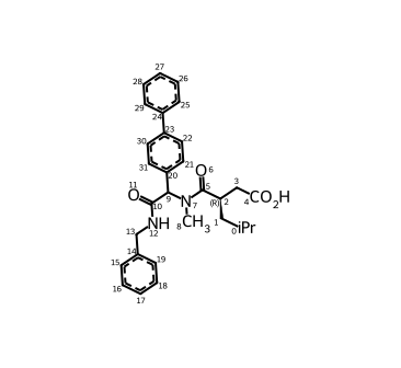 CC(C)C[C@H](CC(=O)O)C(=O)N(C)C(C(=O)NCc1ccccc1)c1ccc(-c2ccccc2)cc1